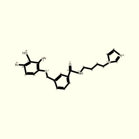 CCCc1c(OCc2cccc(C(=O)NCCCCn3ccnc3)c2)ccc(C(C)=O)c1O